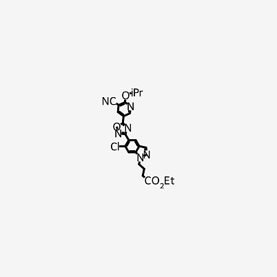 CCOC(=O)CCCn1ncc2cc(-c3noc(-c4cnc(OC(C)C)c(C#N)c4)n3)c(Cl)cc21